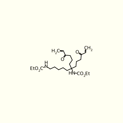 C=CC(=O)CCCC(CCCCCNC(=O)OCC)(CCCC(=O)C=C)NC(=O)OCC